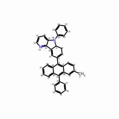 Cc1ccc2c(C3=CCC4C(=C3)c3ncccc3N4c3ccccc3)c3ccccc3c(-c3ccccc3)c2c1